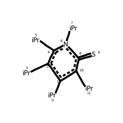 CC(C)c1c(C(C)C)c(C(C)C)n(C(C)C)c(=S)c1C(C)C